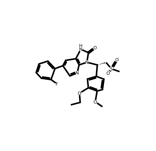 CCOc1cc([C@@H](CS(C)(=O)=O)n2c(=O)[nH]c3cc(-c4ccccc4F)cnc32)ccc1OC